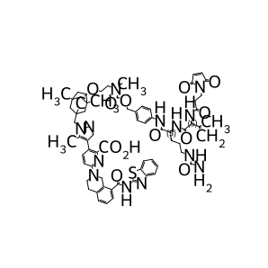 C=C(C)[C@H](NC(=O)CCN1C(=O)C=CC1=O)C(=O)N[C@@H](CCCNC(N)=O)C(=O)Nc1ccc(COC(=O)N(C)CCOC23CC4(C)CC(Cn5ncc(-c6ccc(N7CCc8cccc(C(=O)Nc9nc%10ccccc%10s9)c8C7)nc6C(=O)O)c5C)(CC2(C)C4)C3)cc1